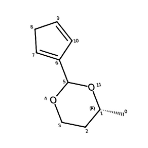 C[C@@H]1CCOC(C2=CCC=C2)O1